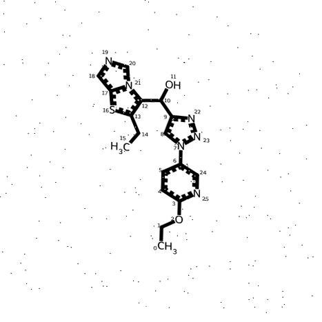 CCOc1ccc(-n2cc(C(O)c3c(CC)sc4cncn34)nn2)cn1